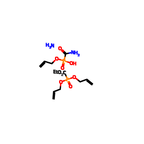 C=CCOP(=O)(O)C(N)=O.C=CCOP(=O)(OCC=C)C(=O)OCC.N